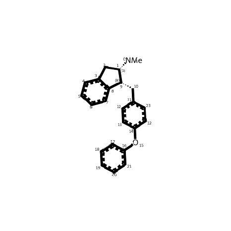 CN[C@H]1Cc2ccccc2[C@H]1Cc1ccc(Oc2ccccc2)cc1